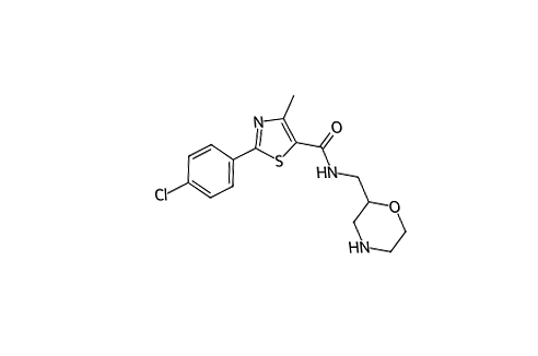 Cc1nc(-c2ccc(Cl)cc2)sc1C(=O)NCC1CNCCO1